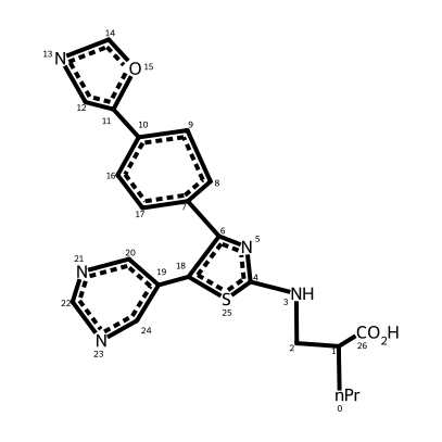 CCCC(CNc1nc(-c2ccc(-c3cnco3)cc2)c(-c2cncnc2)s1)C(=O)O